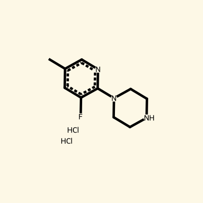 Cc1cnc(N2CCNCC2)c(F)c1.Cl.Cl